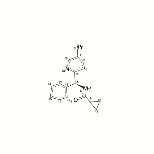 CC(C)c1ccc([C@@H](NC(=O)C2CC2)c2ccccc2)nc1